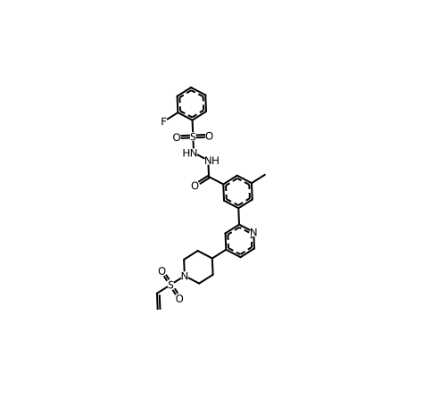 C=CS(=O)(=O)N1CCC(c2ccnc(-c3cc(C)cc(C(=O)NNS(=O)(=O)c4ccccc4F)c3)c2)CC1